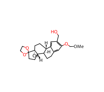 COCOc1cc2c(cc1CO)[C@H]1CC[C@@]3(C)[C@@H](CCC34OCCO4)[C@@H]1CC2